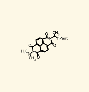 CCCCCC(C)N1C(=O)c2ccc3c4c(ccc(c24)C1=O)C(=O)N(N(C)C)C3=O